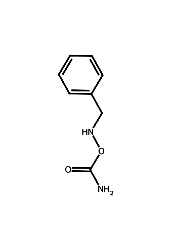 NC(=O)ONCc1ccccc1